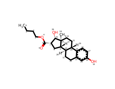 CCCCOC(=O)[C@H]1C[C@H]2[C@@H]3CCc4cc(O)ccc4[C@H]3CC[C@]2(C)[C@H]1O